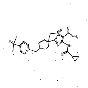 N#CCC1(n2cc(C(N)=O)c(NC(=O)C3CC3)n2)CCN(Cc2ccc(C(F)(F)F)cc2)CC1